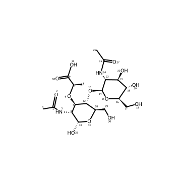 CC(=O)N[C@@H]1[C@@H](O[C@H](C)C(=O)O)[C@H](O[C@@H]2O[C@H](CO)[C@@H](O)[C@H](O)[C@H]2NC(C)=O)[C@@H](CO)O[C@@H]1O